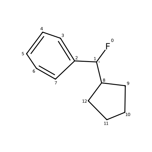 F[C](c1ccccc1)C1CCCC1